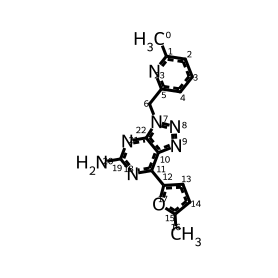 Cc1cccc(Cn2nnc3c(-c4ccc(C)o4)nc(N)nc32)n1